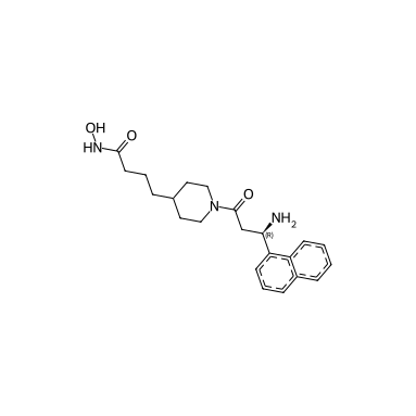 N[C@H](CC(=O)N1CCC(CCCC(=O)NO)CC1)c1cccc2ccccc12